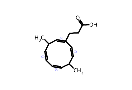 CC1/C=C\C=C/C(C)/C=C(CCC(=O)O)\C=C/1